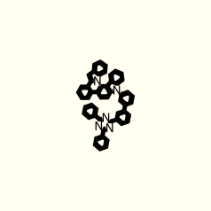 c1ccc(-c2nc(-c3ccccc3)nc(-c3cccc(-c4cccc(-n5c6ccccc6c6c5ccc5c7ccccc7c7cc8ccccc8n7c56)c4)c3)n2)cc1